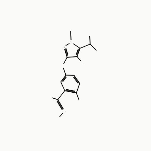 CC(=N[O])c1cc(Oc2nn(C)c(C(F)F)c2Br)ccc1Cl